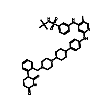 Cc1cnc(Nc2ccc(N3CCC(N4CCN(Cc5ccccc5C5CCC(=O)NC5=O)CC4)CC3)cc2)nc1Nc1cccc(S(=O)(=O)NC(C)(C)C)c1